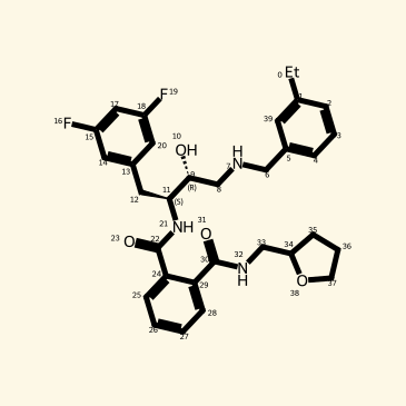 CCc1cccc(CNC[C@@H](O)[C@H](Cc2cc(F)cc(F)c2)NC(=O)c2ccccc2C(=O)NCC2CCCO2)c1